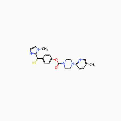 Cc1ccc(N2CCN(C(=O)Oc3ccc(C(S)c4nccn4C)cc3)CC2)nc1